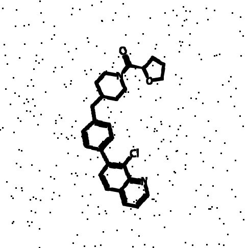 O=C([C@H]1CCCO1)N1CCC(Cc2ccc(-c3ccc4cccnc4c3Cl)cc2)CC1